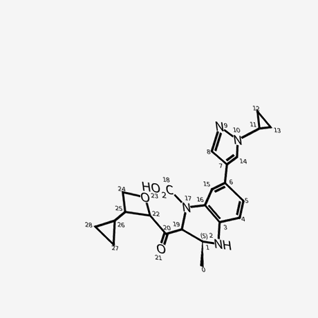 C[C@@H]1Nc2ccc(-c3cnn(C4CC4)c3)cc2N(C(=O)O)C1C(=O)C1OCC1C1CC1